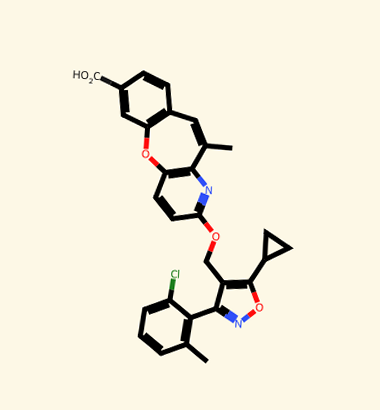 CC1=Cc2ccc(C(=O)O)cc2Oc2ccc(OCc3c(-c4c(C)cccc4Cl)noc3C3CC3)nc21